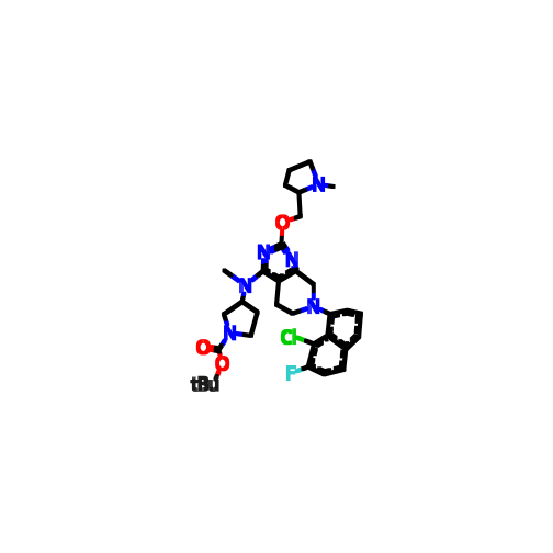 CN1CCCC1COc1nc2c(c(N(C)C3CCN(C(=O)OC(C)(C)C)C3)n1)CCN(c1cccc3ccc(F)c(Cl)c13)C2